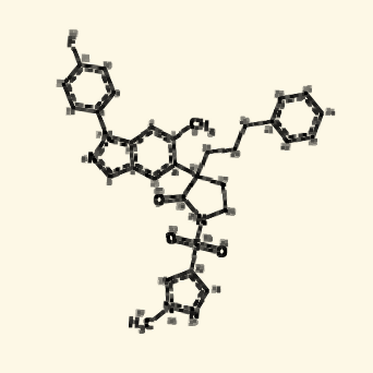 Cc1cc2c(cnn2-c2ccc(F)cc2)cc1C1(CCCc2ccccc2)CCN(S(=O)(=O)c2cnn(C)c2)C1=O